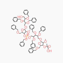 COC1C(OC2(C)OC2O)[C@@H](COCc2ccccc2)O[C@H]1OCC(OCc1ccccc1)C(OCc1ccccc1)C(COP(=O)(OCc1ccccc1)OC1C(OC)[C@H](OCC(OCc2ccccc2)C(OCc2ccccc2)C(CO)OCc2ccccc2)O[C@@H]1COCc1ccccc1)OCc1ccccc1